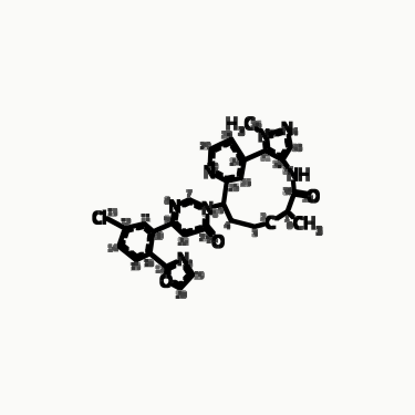 CC1CCCC(n2cnc(-c3cc(Cl)ccc3-c3ncco3)cc2=O)c2cc(ccn2)-c2c(cnn2C)NC1=O